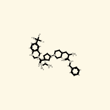 CC(CC1CCN([C@@H]2CC[C@@](C(=O)N3COc4ccc(C(F)(F)F)cc4C3)(C(C)C)C2)CC1)C(=O)OCc1ccccc1